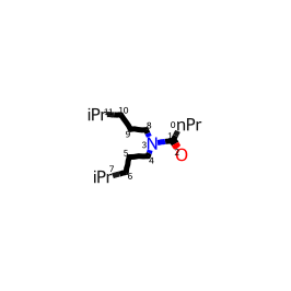 CCCC(=O)N(CCCC(C)C)CCCC(C)C